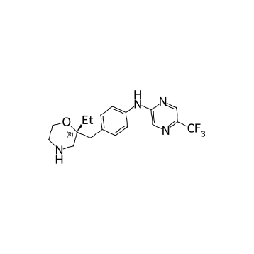 CC[C@@]1(Cc2ccc(Nc3cnc(C(F)(F)F)cn3)cc2)CNCCO1